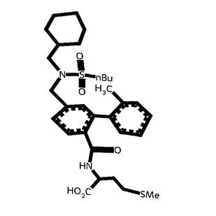 CCCCS(=O)(=O)N(Cc1ccc(C(=O)NC(CCSC)C(=O)O)c(-c2ccccc2C)c1)CC1CCCCC1